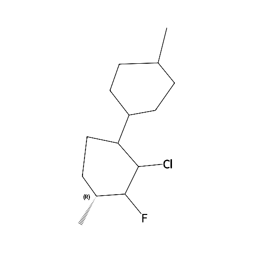 CC1CCC(C2CC[C@@H](C)C(F)C2Cl)CC1